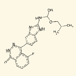 CC(C)COC(O)Nc1nc2cc(-c3n[nH]c(=O)c4cccc(F)c34)ccc2[nH]1